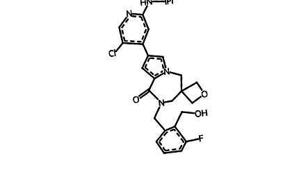 CC(C)Nc1cc(-c2cc3n(c2)CC2(COC2)CN(Cc2cccc(F)c2CO)C3=O)c(Cl)cn1